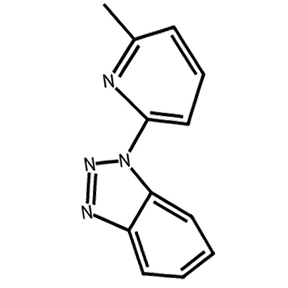 Cc1cccc(-n2nnc3ccccc32)n1